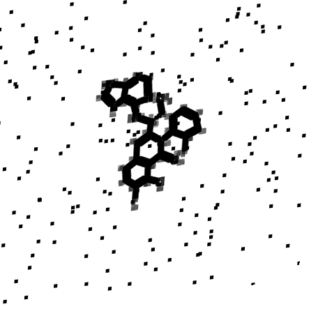 CC[C@@H](Nc1ncnc2[nH]cnc12)c1cc2ccc(F)c(Cl)c2c(=O)n1-c1ccccc1F